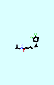 CC(C)CNC(=O)C=CC=C[C@H]1C[C@@H]1c1ccc(Cl)c(Cl)c1